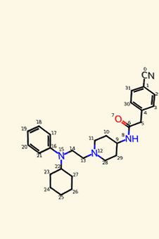 N#Cc1ccc(CC(=O)NC2CCN(CCN(c3ccccc3)C3CCCCC3)CC2)cc1